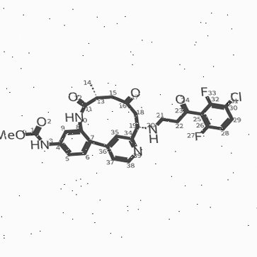 COC(=O)Nc1ccc2c(c1)NC(=O)[C@H](C)CC(=O)C[C@H](NCCC(=O)c1c(F)ccc(Cl)c1F)c1cc-2ccn1